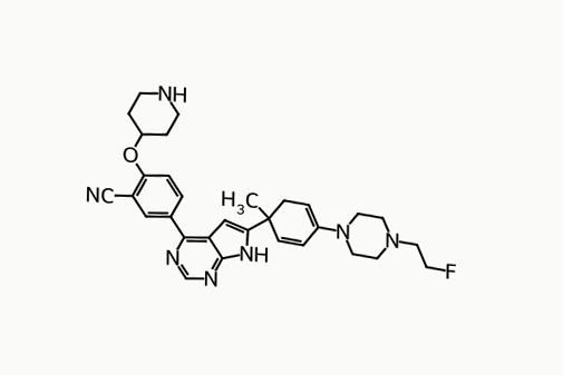 CC1(c2cc3c(-c4ccc(OC5CCNCC5)c(C#N)c4)ncnc3[nH]2)C=CC(N2CCN(CCF)CC2)=CC1